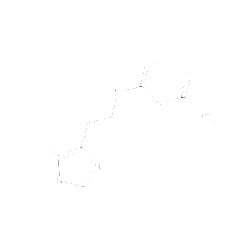 CCc1[nH]cnc1CCNC(=N)NC(N)=O